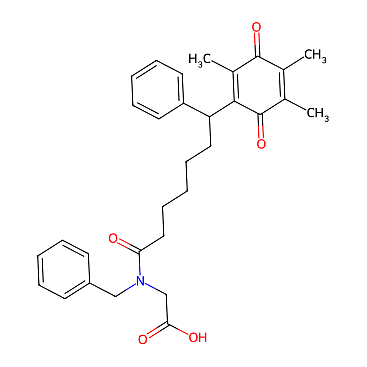 CC1=C(C)C(=O)C(C(CCCCCC(=O)N(CC(=O)O)Cc2ccccc2)c2ccccc2)=C(C)C1=O